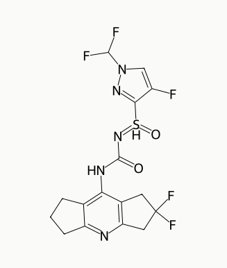 O=C(/N=[SH](=O)/c1nn(C(F)F)cc1F)Nc1c2c(nc3c1CC(F)(F)C3)CCC2